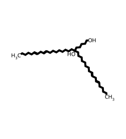 CCCCCC=CCC=CCCCCCCCCC(O)(CCCCCO)CCCCCCCCC=CCC=CCCCCC